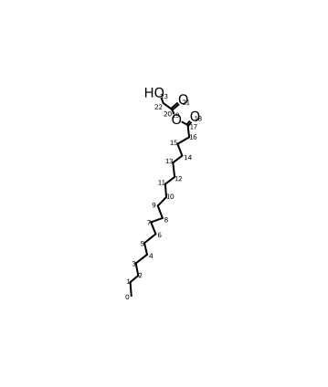 CCCCCCCCCCCCCCCCCC(=O)OC(=O)CO